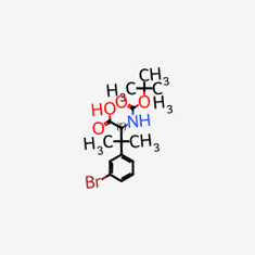 CC(C)(C)OC(=O)N[C@H](C(=O)O)C(C)(C)c1cccc(Br)c1